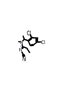 CC/C(=N\C#N)N(C)C(C)c1ccc(Cl)cc1Cl